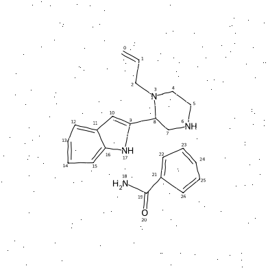 C=CCN1CCNCC1c1cc2ccccc2[nH]1.NC(=O)c1ccccc1